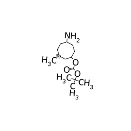 C[C@@H]1CCC(N)CCC(OC(=O)OC(C)(C)C)C1